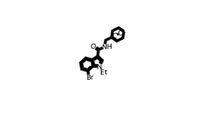 CCn1cc(C(=O)NCC23CCC(CC2)CC3)c2cccc(Br)c21